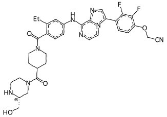 CCc1cc(Nc2nccn3c(-c4ccc(OCC#N)c(F)c4F)cnc23)ccc1C(=O)N1CCC(C(=O)N2CCN[C@@H](CO)C2)CC1